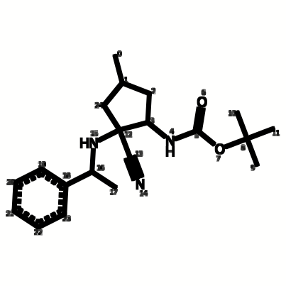 CC1CC(NC(=O)OC(C)(C)C)C(C#N)(NC(C)c2ccccc2)C1